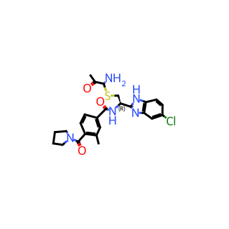 CC(=O)C(N)SC[C@H](NC(=O)c1ccc(C(=O)N2CCCC2)c(C)c1)c1nc2cc(Cl)ccc2[nH]1